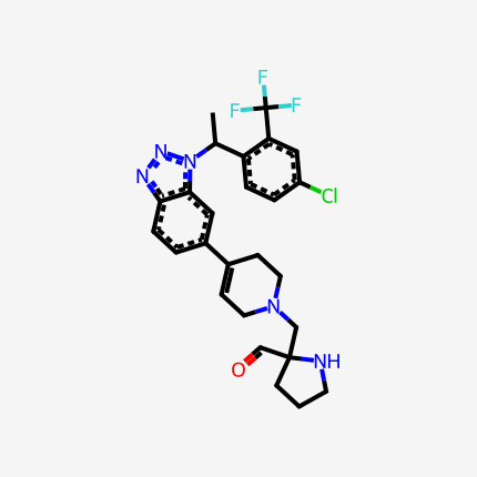 CC(c1ccc(Cl)cc1C(F)(F)F)n1nnc2ccc(C3=CCN(CC4(C=O)CCCN4)CC3)cc21